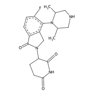 CC1CNCC(C)N1c1c(F)ccc2c1CN(C1CCC(=O)NC1=O)C2=O